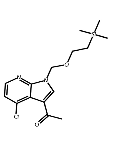 CC(=O)c1cn(COCC[Si](C)(C)C)c2nccc(Cl)c12